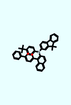 CC(C)(C)c1ccc(N(c2ccc3c(c2)C(C)(C)c2ccccc2-3)c2ccc3ccccc3c2-c2ccc(-c3ccccc3)cc2)cc1